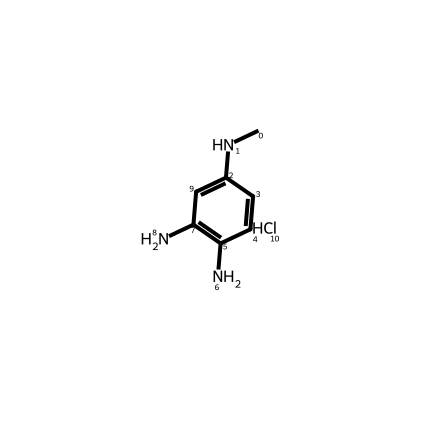 CNc1ccc(N)c(N)c1.Cl